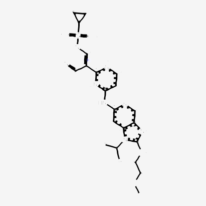 COCCOc1nc2cnc(Nc3ccnc(/C(C=N)=C/NS(=O)(=O)C4CC4)n3)cc2n1C(C)C